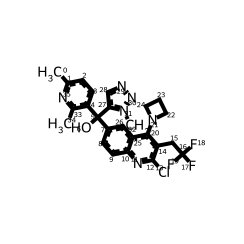 Cc1ccc(C(O)(c2ccc3nc(Cl)c(CC(F)(F)F)c(N4CCC4)c3c2)c2cnnn2C)c(C)n1